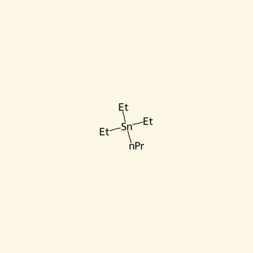 CC[CH2][Sn]([CH2]C)([CH2]C)[CH2]C